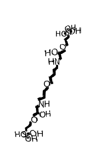 OC(CNCCCCCOCCCCNCC(O)COCCC[Si](O)(O)O)COCCC[Si](O)(O)O